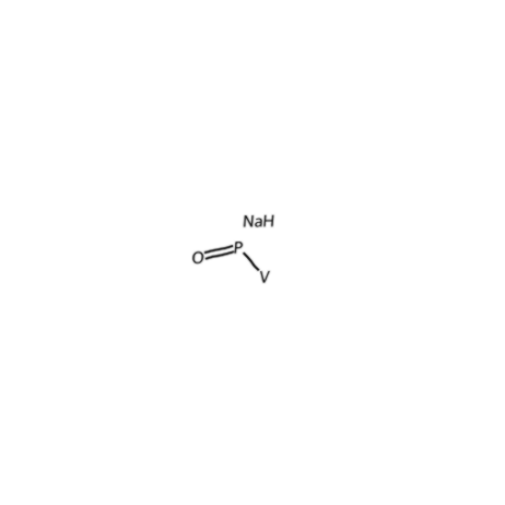 O=[P][V].[NaH]